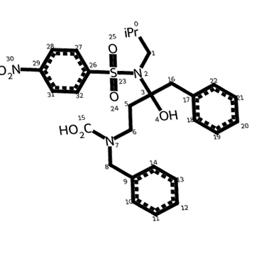 CC(C)CN(C(O)(CCN(Cc1ccccc1)C(=O)O)Cc1ccccc1)S(=O)(=O)c1ccc([N+](=O)[O-])cc1